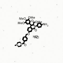 COC(=O)c1c(-c2cc(OC)c(OC)c(OC)c2)c2ccc(OCc3ccc(C(=O)N4CCN(C)CC4)cc3)cc2c(=O)n1-c1ccc(N)cc1.Cl.Cl